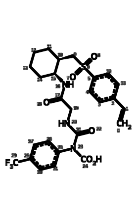 C=Cc1ccc(S(=O)(=O)C[C@@H]2CCCC[C@@H]2NC(=O)CNC(=O)N(C(=O)O)c2ccc(C(F)(F)F)cc2)cc1